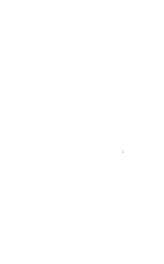 Cc1ccc(-c2ccccc2)c(O)c1Br